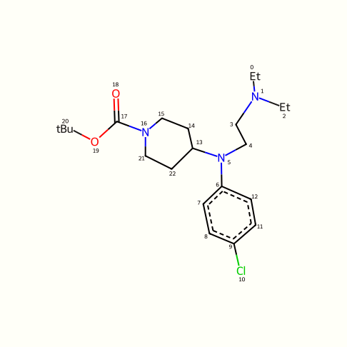 CCN(CC)CCN(c1ccc(Cl)cc1)C1CCN(C(=O)OC(C)(C)C)CC1